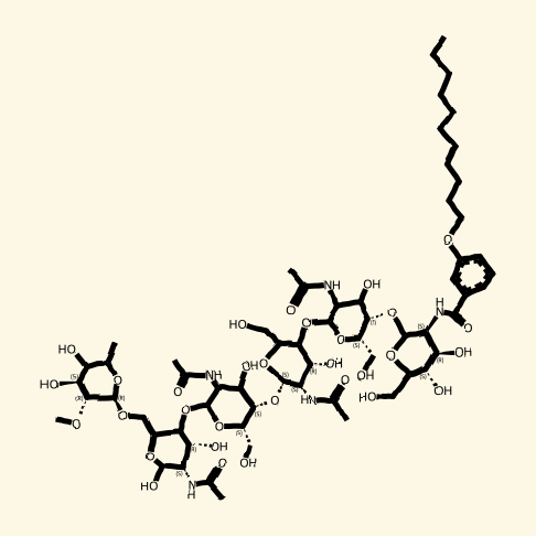 CCCCCCCCCCCOc1cccc(C(=O)N[C@@H]2C(O[C@H]3C(O)C(NC(C)=O)C(OC4C(CO)O[C@@H](O[C@H]5C(O)C(NC(C)=O)C(OC6C(CO[C@@H]7OC(C)C(O)[C@H](O)[C@H]7OC)OC(O)[C@@H](NC(C)=O)[C@H]6O)O[C@H]5CO)[C@@H](NC(C)=O)[C@H]4O)O[C@H]3CO)OC(CO)[C@@H](O)[C@@H]2O)c1